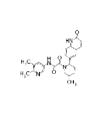 Cc1cc(NC(=O)C(=O)N2C[C@@H](C)CC[C@@H]2C2=CC3CCC(=O)NC3C=C2)cnc1C